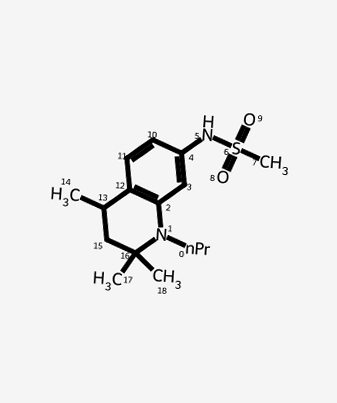 CCCN1c2cc(NS(C)(=O)=O)ccc2C(C)CC1(C)C